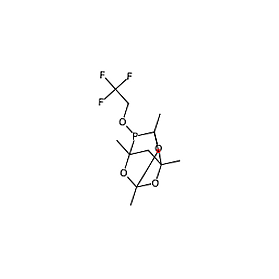 CC12CC3(C)OC(C)(CC(C)(O1)P3OCC(F)(F)F)O2